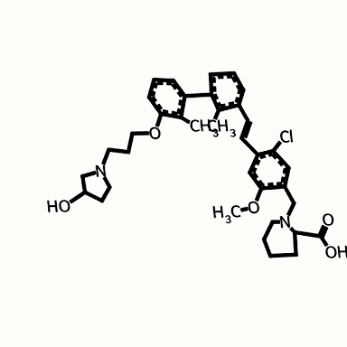 COc1cc(/C=C/c2cccc(-c3cccc(OCCCN4CCC(O)C4)c3C)c2C)c(Cl)cc1CN1CCCCC1C(=O)O